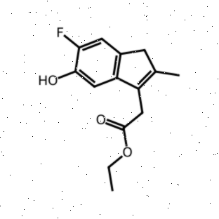 CCOC(=O)CC1=C(C)Cc2cc(F)c(O)cc21